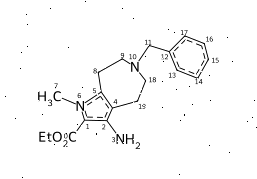 CCOC(=O)c1c(N)c2c(n1C)CCN(Cc1ccccc1)CC2